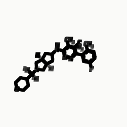 [2H]C([2H])(C1CCOCC1)N1C[C@H]2CC(Nc3nnc(-c4cc(F)ccc4C)c(C)c3C)C[C@H]2C1